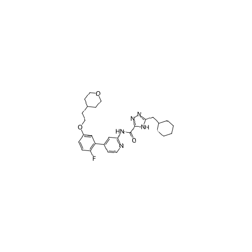 O=C(Nc1cc(-c2cc(OCCC3CCOCC3)ccc2F)ccn1)c1nnc(CC2CCCCC2)[nH]1